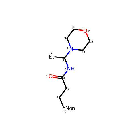 CCCCCCCCCCCC(=O)NC(CC)N1CCOCC1